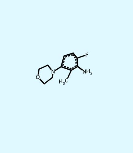 Cc1c(N2CCOCC2)ccc(F)c1N